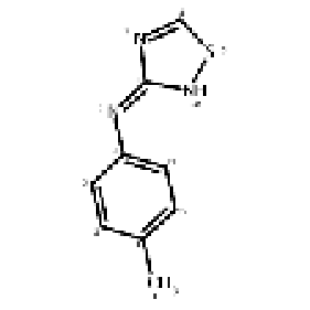 Cc1ccc(N=c2ncs[nH]2)cc1